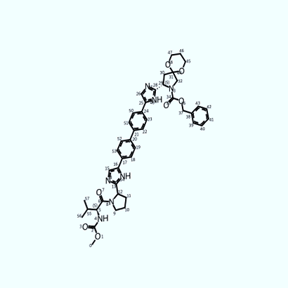 COC(=O)N[C@H](C(=O)N1CCCC1c1ncc(-c2ccc(-c3ccc(-c4cnc([C@@H]5CC6(CN5C(=O)OCc5ccccc5)OCCCO6)[nH]4)cc3)cc2)[nH]1)C(C)C